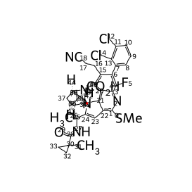 CSc1nc2c(F)c(-c3cccc(Cl)c3Cl)c(CCC#N)cc2c2c1cc(C(C)NC(=O)C1(C)CC1)n2[C@H]1[C@@H]2C[C@H]1N(C(=O)O)C2